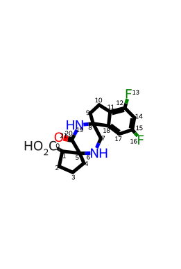 O=C(O)C1CCCC12NCC1(CCc3c(F)cc(F)cc31)NC2=O